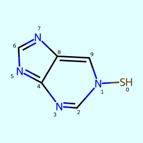 Sn1cnc2ncnc-2c1